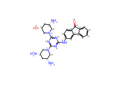 N[C@@H]1C[C@H](N)CN(c2nc(Nc3ccc4c(c3)-c3ccccc3C4=O)nc(N3C[C@@H](N)C[C@@H](O)C3)n2)C1